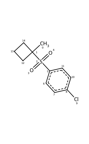 CC1(S(=O)(=O)c2ccc(Cl)cc2)CCC1